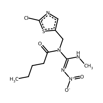 CCCCC(=O)N(Cc1cnc(Cl)s1)/C(=N/[N+](=O)[O-])NC